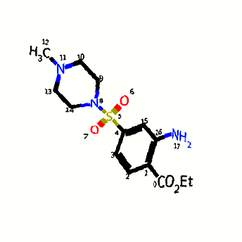 CCOC(=O)c1ccc(S(=O)(=O)N2CCN(C)CC2)cc1N